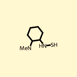 CNC1CCCCC1NS